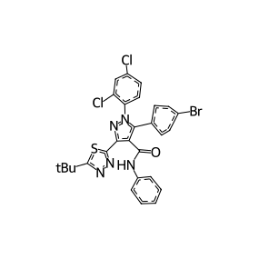 CC(C)(C)c1nnc(-c2nn(-c3ccc(Cl)cc3Cl)c(-c3ccc(Br)cc3)c2C(=O)Nc2ccccc2)s1